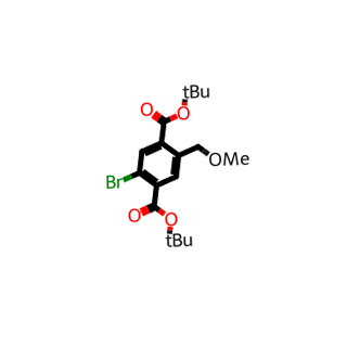 COCc1cc(C(=O)OC(C)(C)C)c(Br)cc1C(=O)OC(C)(C)C